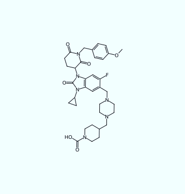 COc1ccc(CN2C(=O)CCC(n3c(=O)n(C4CC4)c4cc(CN5CCN(CC6CCN(C(=O)O)CC6)CC5)c(F)cc43)C2=O)cc1